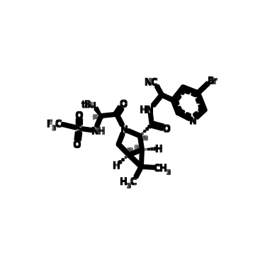 CC(C)(C)[C@H](NS(=O)(=O)C(F)(F)F)C(=O)N1C[C@H]2[C@@H]([C@H]1C(=O)NC(C#N)c1cncc(Br)c1)C2(C)C